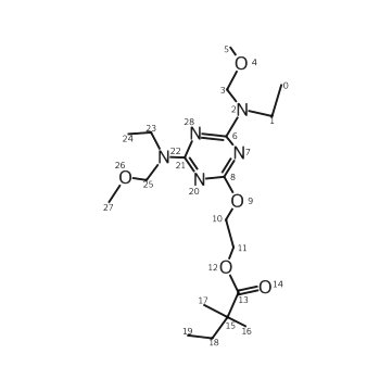 CCN(COC)c1nc(OCCOC(=O)C(C)(C)CC)nc(N(CC)COC)n1